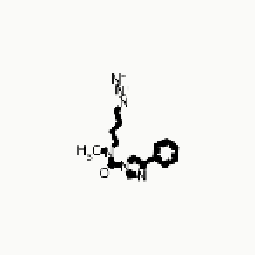 CN(CCCCN=[N+]=[N-])C(=O)n1cnc(-c2ccccc2)c1